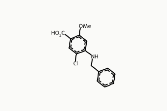 COc1cc(NCc2ccccc2)c(Cl)cc1C(=O)O